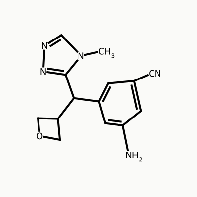 Cn1cnnc1C(c1cc(N)cc(C#N)c1)C1COC1